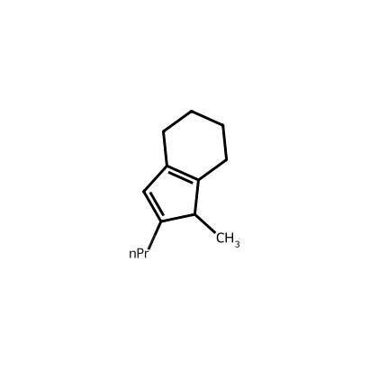 CCCC1=CC2=C(CCCC2)C1C